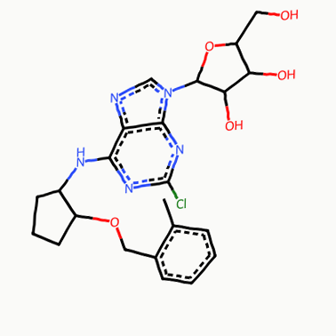 Cc1ccccc1COC1CCCC1Nc1nc(Cl)nc2c1ncn2C1OC(CO)C(O)C1O